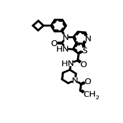 C=CC(=O)N1CCCC(NC(=O)c2sc3nccc4c3c2NC(=O)N4c2cccc(C3CCC3)c2)C1